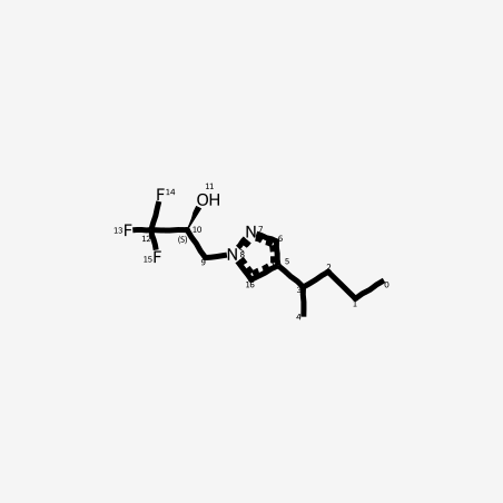 CCCC(C)c1cnn(C[C@H](O)C(F)(F)F)c1